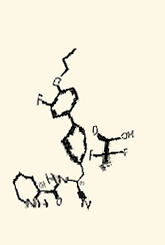 CCCOc1ccc(-c2ccc(C[C@@H](C#N)NC(=O)[C@@H]3CCCCN3)cc2)cc1F.O=C(O)C(F)(F)F